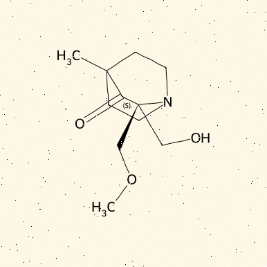 COC[C@@]1(CO)C(=O)C2(C)CCN1CC2